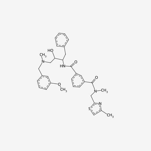 COc1cccc(CN(C)CC(O)C(Cc2ccccc2)NC(=O)c2cccc(C(=O)N(C)Cc3nc(C)cs3)c2)c1